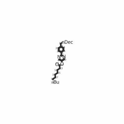 CCCCCCCCCCCc1ccc(-c2ncc(OC(=O)CCCCCCC(C)CC)cn2)cc1